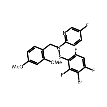 COc1ccc(CN(Sc2c(F)cc(F)c(Br)c2F)c2ccc(F)cn2)c(OC)c1